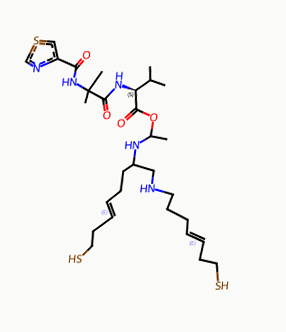 CC(NC(CC/C=C/CCS)CNCCC/C=C/CCS)OC(=O)[C@@H](NC(=O)C(C)(C)NC(=O)c1cscn1)C(C)C